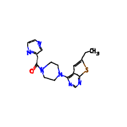 CCc1cc2c(N3CCN(C(=O)c4cnccn4)CC3)ncnc2s1